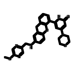 COc1cnc(CNc2ccc3c(c2)Cc2cccc(-c4cc(N5CCOCC5)cc(=O)[nH]4)c2O3)cn1